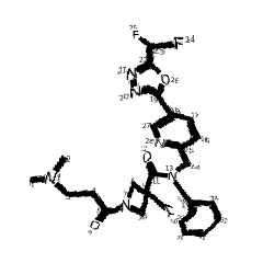 CN(C)CCC(=O)N1CC(F)(C(=O)N(Cc2ccc(-c3nnc(C(F)F)o3)cn2)c2ccccc2)C1